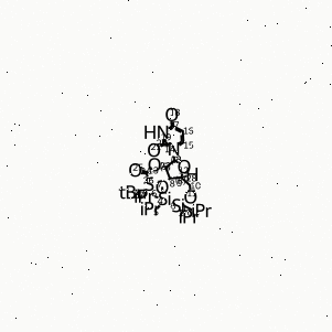 CC(C)[Si]1(C(C)C)C[Si](C(C)C)(C(C)C)OC2[C@@H](CO1)O[C@@H](n1ccc(=O)[nH]c1=O)[C@H]2OC(=O)SC(C)(C)C